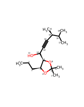 CCC[C@@H]1OC(C)(C)O[C@@H]1C(O)C#C[C@@H](C)C(C)C